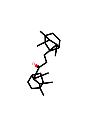 CC1C2(C)CCC(CC2)C1(C)CCC(=O)C1(C)C2CCC(C)(CC2)C1C